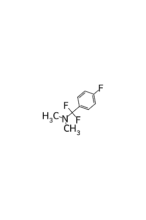 CN(C)C(F)(F)c1ccc(F)cc1